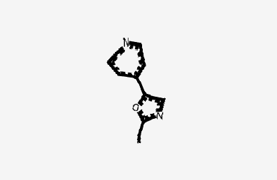 Cc1ncc(-c2ccncc2)o1